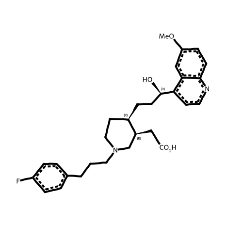 COc1ccc2nccc([C@H](O)CC[C@@H]3CCN(CCCc4ccc(F)cc4)C[C@@H]3CC(=O)O)c2c1